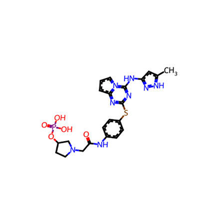 Cc1cc(Nc2nc(Sc3ccc(NC(=O)CN4CCC(OP(=O)(O)O)C4)cc3)nc3cccn23)n[nH]1